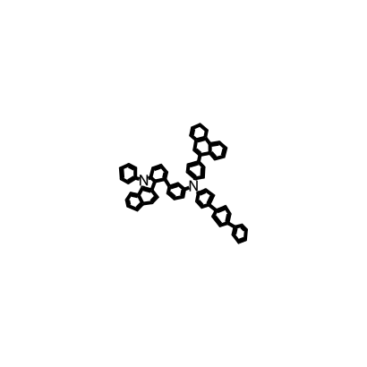 C1=CC2C(C(c3cccc(N(c4ccc(-c5ccc(-c6ccccc6)cc5)cc4)c4ccc(-c5cc6c(c7ccccc57)CCC=C6)cc4)c3)=C1)c1ccc3ccccc3c1N2c1ccccc1